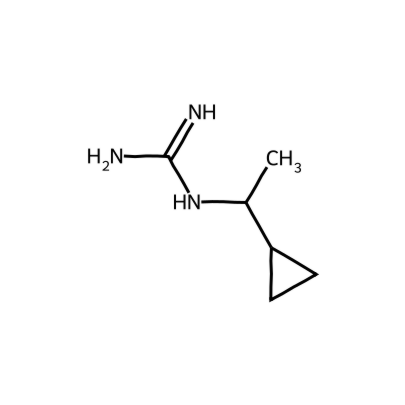 CC(NC(=N)N)C1CC1